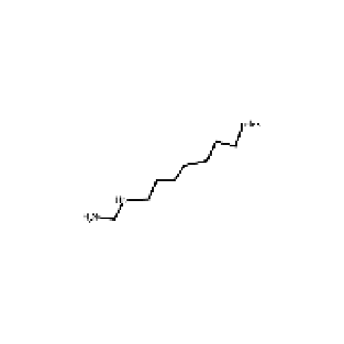 CCCCCCCCCCCCCNCN